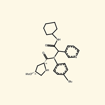 CO[C@H]1CN[C@@H](C(=O)N(c2ccc(C(C)(C)C)cc2)C(C(=O)NC2CCCCC2)c2cccnc2)C1